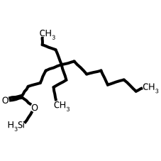 CCCCCCCC(CCC)(CCC)CCCC(=O)O[SiH3]